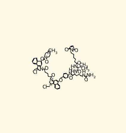 CC(C)C(NC(=O)CCCCCN1C(=O)C=CC1=O)C(=O)NC(CCCNC(N)=O)C(=O)Nc1ccc(COc2cc3c(c4ccccc24)[C@H](CCl)CN3C(=O)CCCC(=O)N2C[C@@H](CCl)c3c2cc(OC(=O)N2CCN(C)CC2)c2ccccc32)cc1